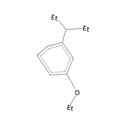 CCOc1cccc(C(CC)CC)c1